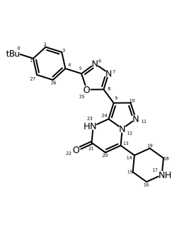 CC(C)(C)c1ccc(-c2nnc(-c3cnn4c(C5CCNCC5)cc(=O)[nH]c34)o2)cc1